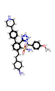 COc1ccc(Cn2nnnc2-c2c(-c3ccc(C4CCNCC4)cc3)ccc(CCC3CCC(N)CC3)c2S(N)(=O)=O)cc1